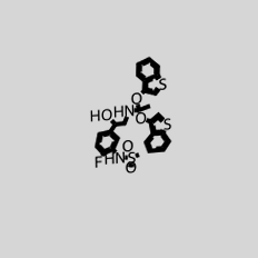 CC(NCC(O)c1ccc(F)c(NS(C)(=O)=O)c1)(Oc1csc2ccccc12)Oc1csc2ccccc12